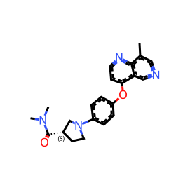 Cc1cncc2c(Oc3ccc(N4CC[C@H](C(=O)N(C)C)C4)cc3)ccnc12